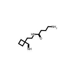 N=CC1(CCNC(=O)CCCN)CCC1